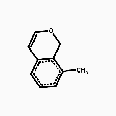 Cc1cccc2c1COC=C2